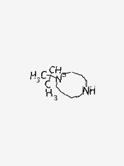 CC(C)(C)N1CCCCNCCCC1